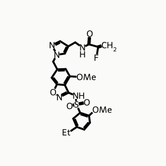 C=C(F)C(=O)NCc1cnn(Cc2cc(OC)c3c(NS(=O)(=O)c4cc(CC)ccc4OC)noc3c2)c1